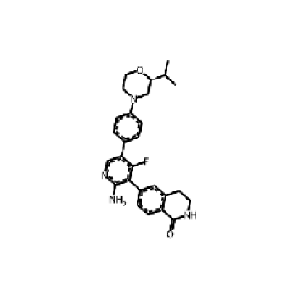 CC(C)[C@H]1CN(c2ccc(-c3cnc(N)c(-c4ccc5c(c4)CCNC5=O)c3F)cc2)CCO1